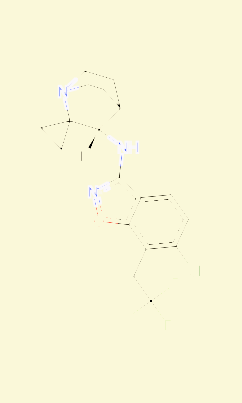 FC(F)(F)Cc1c(Cl)ccc2c(N[C@H]3C4CCN(CC4)C34CC4)noc12